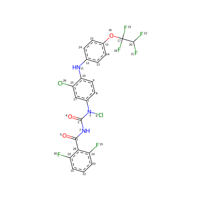 O=C(NC(=O)N(Cl)c1ccc(Nc2ccc(OC(F)(F)C(F)F)cc2)c(Cl)c1)c1c(F)cccc1F